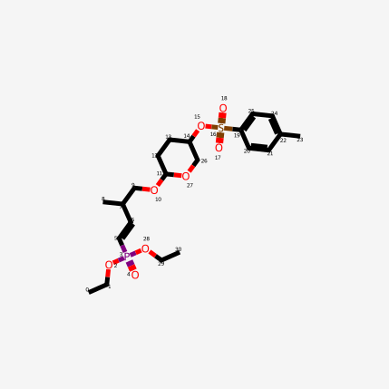 CCOP(=O)(C=CC(C)COC1CCC(OS(=O)(=O)c2ccc(C)cc2)CO1)OCC